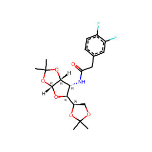 CC1(C)O[C@H]2O[C@H]([C@H]3COC(C)(C)O3)[C@@H](NC(=O)Cc3ccc(F)c(F)c3)[C@H]2O1